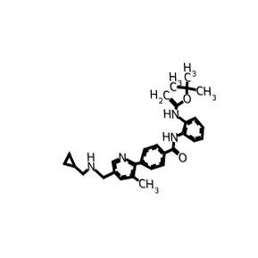 C=C(Nc1ccccc1NC(=O)c1ccc(-c2ncc(CNCC3CC3)cc2C)cc1)OC(C)(C)C